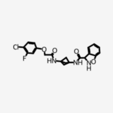 O=C(COc1ccc(Cl)c(F)c1)NC12CC(NC(=O)C3NOc4ccccc43)(C1)C2